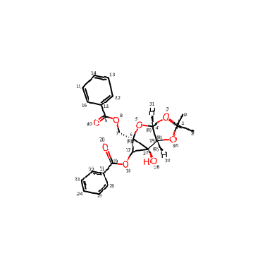 CC1(C)O[C@H]2O[C@]3(COC(=O)c4ccccc4)C(OC(=O)c4ccccc4)[C@@]3(O)[C@H]2O1